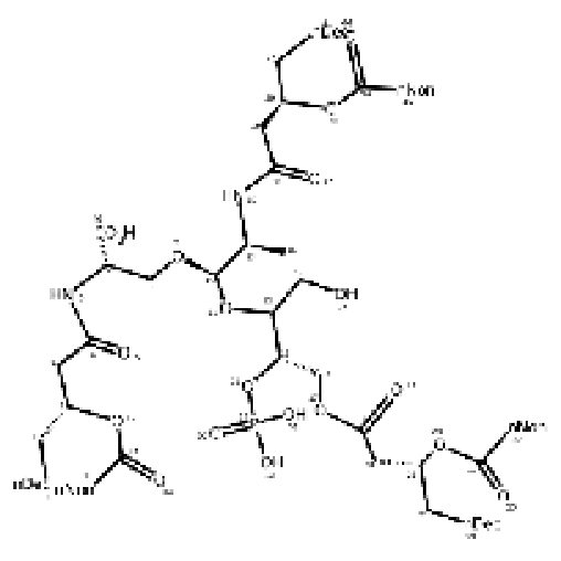 CCCCCCCCCCC[C@H](CC(=O)N[C@@H](CO[C@H](OC(CO)[C@H](COC(=O)C[C@@H](CCCCCCCCCCC)OC(=O)CCCCCCCCC)OP(=O)(O)O)[C@H](C)NC(=O)C[C@@H](CCCCCCCCCCC)OC(=O)CCCCCCCCC)C(=O)O)OC(=O)CCCCCCCCC